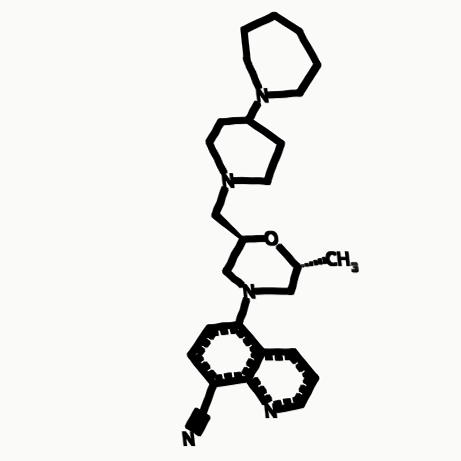 C[C@@H]1CN(c2ccc(C#N)c3ncccc23)C[C@@H](CN2CCC(N3CCCCCC3)CC2)O1